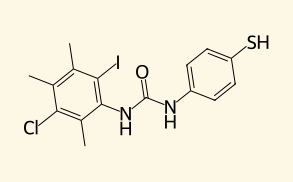 Cc1c(C)c(I)c(NC(=O)Nc2ccc(S)cc2)c(C)c1Cl